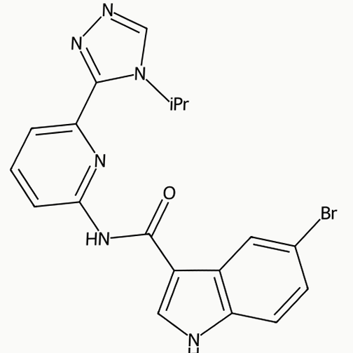 CC(C)n1cnnc1-c1cccc(NC(=O)c2c[nH]c3ccc(Br)cc23)n1